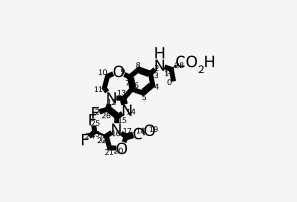 C[C@H](Nc1ccc2c(c1)OCCn1c-2nc(N2C(=C=O)OC[C@H]2C(F)F)c1F)C(=O)O